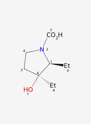 CC[C@@H]1N(C(=O)O)CC[C@@]1(O)CC